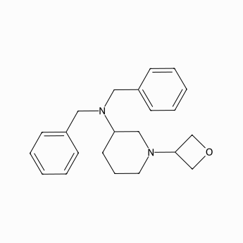 c1ccc(CN(Cc2ccccc2)C2CCCN(C3COC3)C2)cc1